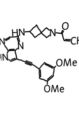 C=CC(=O)N1CC2(CC(Nc3cnc4[nH]cc(C#Cc5cc(OC)cc(OC)c5)c4n3)C2)C1